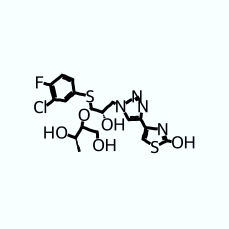 C[C@@H](O)C(CO)OC(Sc1ccc(F)c(Cl)c1)[C@@H](O)Cn1cc(-c2csc(O)n2)nn1